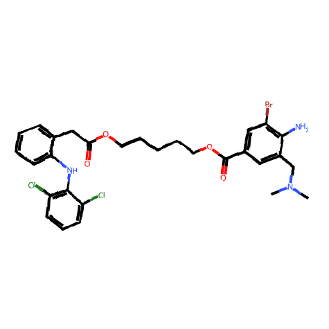 CN(C)Cc1cc(C(=O)OCCCCCOC(=O)Cc2ccccc2Nc2c(Cl)cccc2Cl)cc(Br)c1N